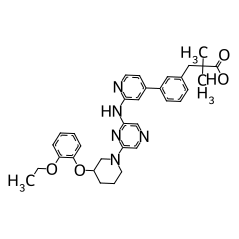 CCOc1ccccc1OC1CCCN(c2cncc(Nc3cc(-c4cccc(CC(C)(C)C(=O)O)c4)ccn3)n2)C1